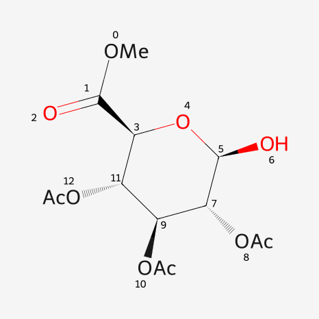 COC(=O)[C@H]1O[C@@H](O)[C@H](OC(C)=O)[C@@H](OC(C)=O)[C@@H]1OC(C)=O